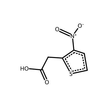 O=C(O)Cc1sccc1[N+](=O)[O-]